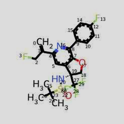 C=C(CF)c1cc2c(c(-c3ccc(F)cc3)n1)OC[C@@]2(N[S@+]([O-])C(C)(C)C)C(F)(F)F